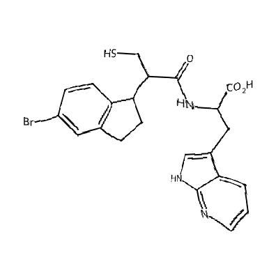 O=C(O)C(Cc1c[nH]c2ncccc12)NC(=O)C(CS)C1CCc2cc(Br)ccc21